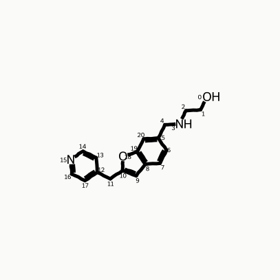 OCCNCc1ccc2cc(Cc3ccncc3)oc2c1